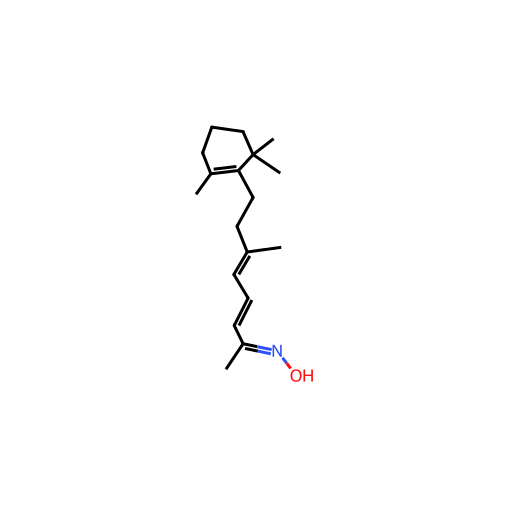 CC(/C=C/C=C(\C)CCC1=C(C)CCCC1(C)C)=NO